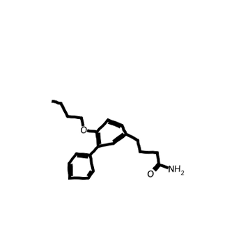 CCCCOc1ccc(CCCC(N)=O)cc1-c1ccccc1